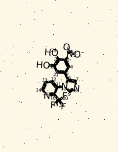 O=[N+]([O-])c1cc(-c2cncn2-c2cccnc2C(F)(F)F)cc(O)c1O